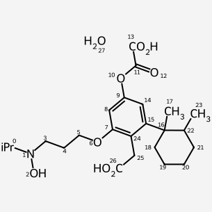 CC(C)N(O)CCCOc1cc(OC(=O)C(=O)O)cc(C2(C)CCCCC2C)c1CC(=O)O.O